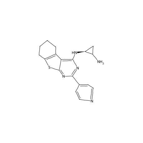 NC1C[C@@H]1Nc1nc(-c2ccncc2)nc2sc3c(c12)CCCC3